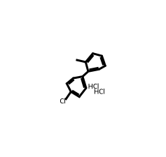 Cc1ccccc1-c1ccc(Cl)cc1.Cl.Cl